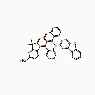 CC(C)(C)c1ccc2c(c1)C(C)(C)c1cccc(-c3ccccc3N(c3ccc4sc5ccccc5c4c3)c3cccc4ccccc34)c1-2